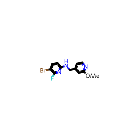 COc1cc(CNc2ccc(Br)c(F)n2)ccn1